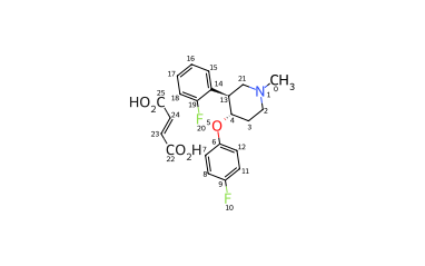 CN1CC[C@H](Oc2ccc(F)cc2)[C@@H](c2ccccc2F)C1.O=C(O)/C=C/C(=O)O